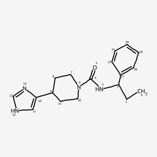 CCC(NC(=O)N1CCC(c2c[nH]cn2)CC1)c1ccccc1